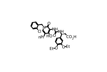 CCCc1cn(Cc2ccccc2Cl)c(=O)c(NC(=O)N[C@@H](CC(=O)O)c2ccc(OCC)c(OCC)c2)c1O